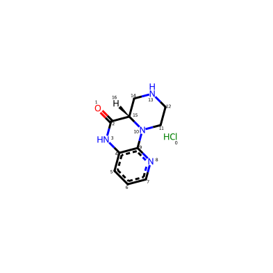 Cl.O=C1Nc2cccnc2N2CCNC[C@@H]12